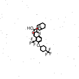 O=C(O)C1CC2CCCC(C1)N2Cc1ccc2c(C(F)(F)F)c(OC3CCC(C(F)(F)F)CC3)ccc2n1